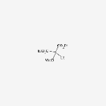 CCOC(=O)C(CC)(OC)C(=O)OCC